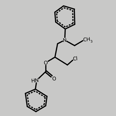 CCN(CC(CCl)OC(=O)Nc1ccccc1)c1ccccc1